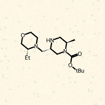 CC[C@@H]1COCCN1C[C@H]1CN(C(=O)OC(C)(C)C)[C@H](C)CN1